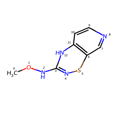 CONC1=NSc2cnccc2N1